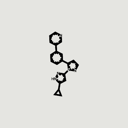 c1cncc(-c2cccc(-c3ccnn3-c3cc(C4CC4)[nH]n3)c2)c1